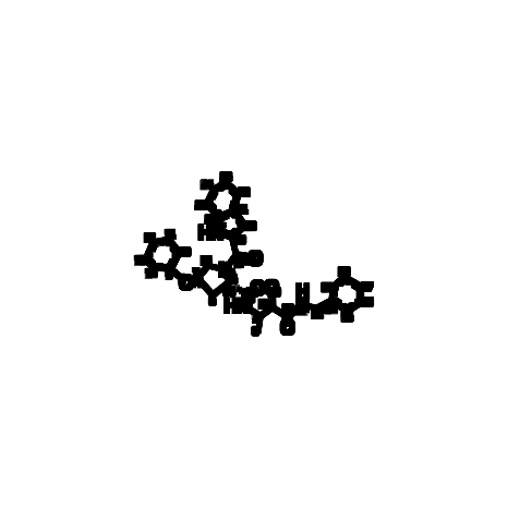 CC(NC(=O)[C@@H]1C[C@@H](Oc2ccccc2)CN1C(=O)c1cc2ccccc2[nH]1)C(=O)C(=O)NCc1ccccc1